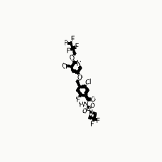 O=C(NS(=O)(=O)N1CC(F)(F)C1)c1cc(Cl)c(COc2cnc(OCC(F)(F)C(F)F)c(Cl)c2)cc1F